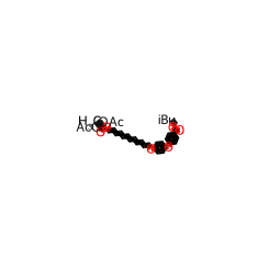 CCC(C)COC(=O)c1ccc(Oc2ccc(OCCCCCCCCCCCCOC(=O)C(C)(OC(C)=O)OC(C)=O)cc2)cc1